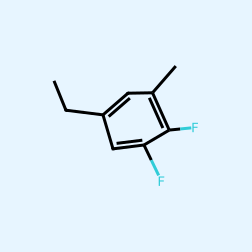 CCc1cc(C)c(F)c(F)c1